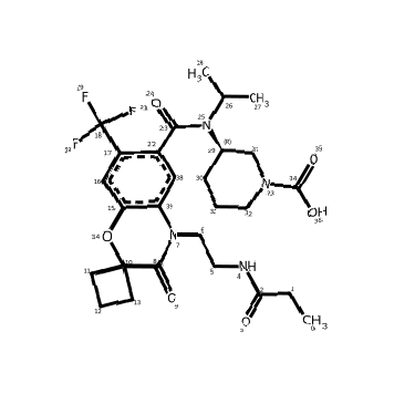 CCC(=O)NCCN1C(=O)C2(CCC2)Oc2cc(C(F)(F)F)c(C(=O)N(C(C)C)[C@@H]3CCCN(C(=O)O)C3)cc21